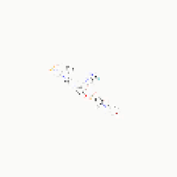 CC(C)c1ccccc1[C@H]1CN(S(C)(=O)=O)CC[C@H]1N1CC2(CCN(c3ccc(C(=O)NS(=O)(=O)c4cc5c(c([N+](=O)[O-])c4)N[C@@H]([C@H]4CC[C@](C)(O)CC4)CO5)c(Oc4cnc5[nH]cc(F)c5c4)c3)CC2)C1